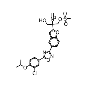 CC(C)Oc1ccc(-c2nc(-c3ccc4oc(C(N)(CO)COS(C)(=O)=O)cc4c3)no2)cc1Cl